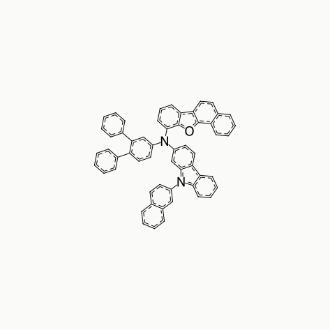 c1ccc(-c2ccc(N(c3ccc4c5ccccc5n(-c5ccc6ccccc6c5)c4c3)c3cccc4c3oc3c5ccccc5ccc43)cc2-c2ccccc2)cc1